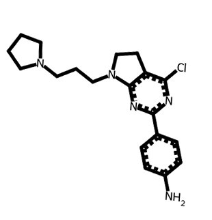 Nc1ccc(-c2nc(Cl)c3c(n2)N(CCCN2CCCC2)CC3)cc1